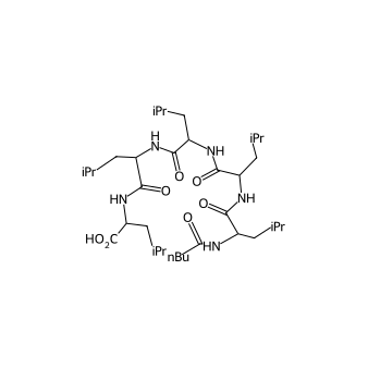 CCCCC(=O)NC(CC(C)C)C(=O)NC(CC(C)C)C(=O)NC(CC(C)C)C(=O)NC(CC(C)C)C(=O)NC(CC(C)C)C(=O)O